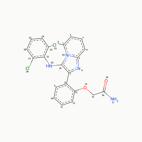 Cc1cccc2nc(-c3ccccc3OCC(N)=O)c(Nc3c(Cl)cccc3Cl)n12